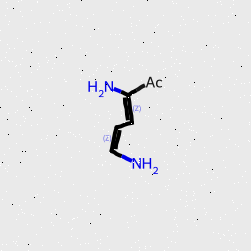 CC(=O)/C(N)=C/C=C\N